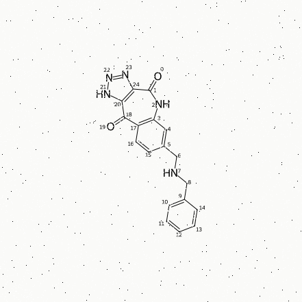 O=c1[nH]c2cc(CNCc3ccccc3)ccc2c(=O)c2[nH]nnc12